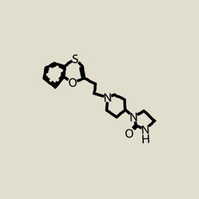 O=C1NCCN1C1CCN(CCC2=CSc3ccccc3O2)CC1